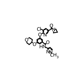 Cn1ccc(NC(=O)c2cc(Oc3ncc(C(=O)N4CCC4)cc3Cl)cc(OC3CCOCC3)c2)n1